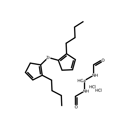 CCCCC1=[C]([Zr][C]2=C(CCCC)C=CC2)CC=C1.Cl.Cl.O=C[NH][GaH][NH]C=O